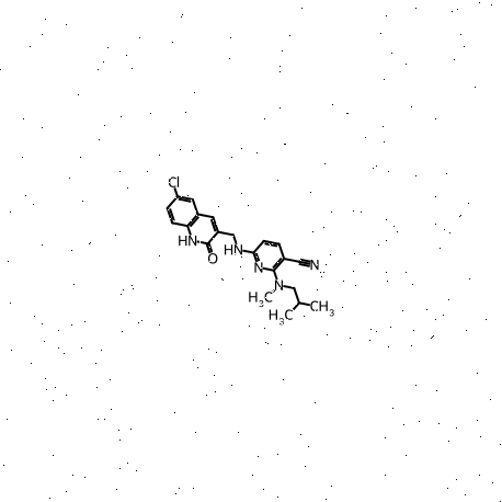 CC(C)CN(C)c1nc(NCc2cc3cc(Cl)ccc3[nH]c2=O)ccc1C#N